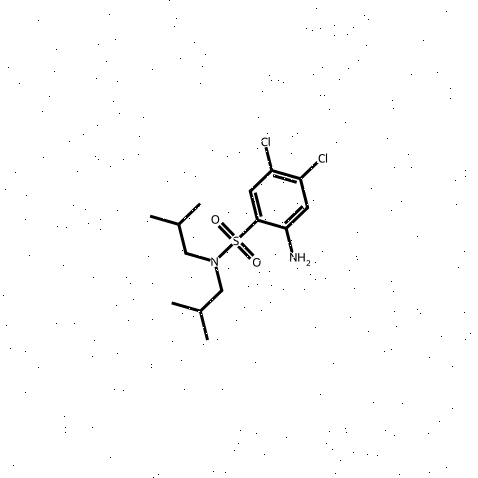 CC(C)CN(CC(C)C)S(=O)(=O)c1cc(Cl)c(Cl)cc1N